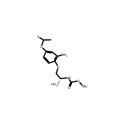 CC(C)(C)OC(=O)N[C@@H](COc1ccc(OC(F)F)cc1N)C(=O)O